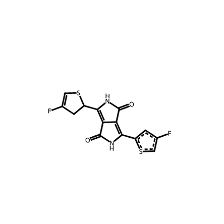 O=C1NC(C2CC(F)=CS2)=C2C(=O)NC(c3cc(F)cs3)=C12